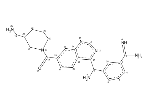 N=C(N)c1cccc(C(N)c2ncnc3cc(C(=O)N4CCCC(CN)C4)ccc23)c1